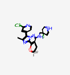 Cc1nc2c3c(c(NCC4(F)CCNCC4)nn2c1-c1ccnc(Cl)c1)C[C@H](C)O3